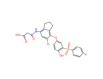 O=C(O)CC(=O)Nc1cc(Cl)c(Oc2ccc(O)c(S(=O)(=O)c3ccc(F)cc3)c2)c2c1CCC2